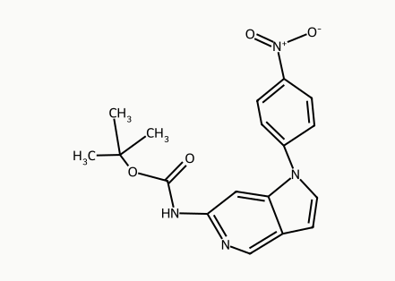 CC(C)(C)OC(=O)Nc1cc2c(ccn2-c2ccc([N+](=O)[O-])cc2)cn1